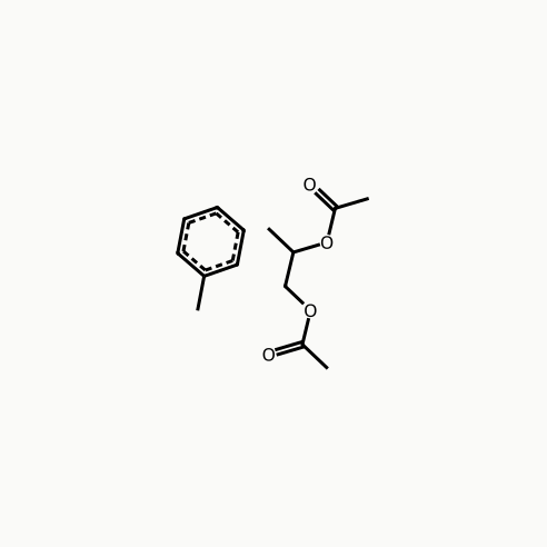 CC(=O)OCC(C)OC(C)=O.Cc1ccccc1